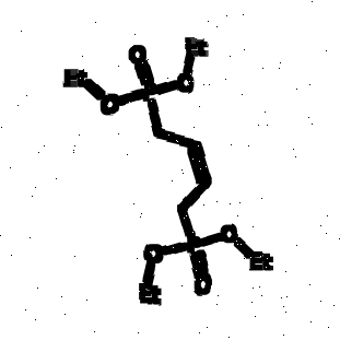 CCOP(=O)(C/C=C\CP(=O)(OCC)OCC)OCC